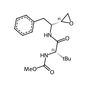 COC(=O)N[C@H](C(=O)NC(Cc1ccccc1)[C@@H]1CO1)C(C)(C)C